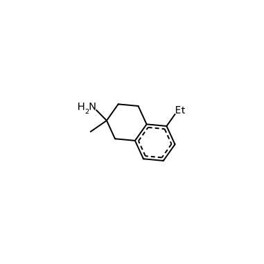 CCc1cccc2c1CCC(C)(N)C2